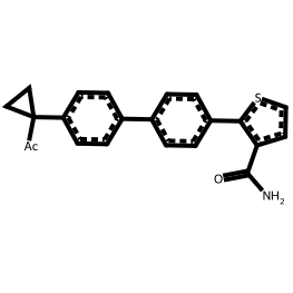 CC(=O)C1(c2ccc(-c3ccc(-c4sccc4C(N)=O)cc3)cc2)CC1